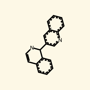 C1=Cc2ccccc2C(c2cnc3ccccc3c2)[N]1